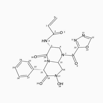 C=CC(=O)N[C@@H]1CN(C(=O)c2nnco2)C2CN(O)C(=O)[C@H](c3ccccc3)N2C1=O